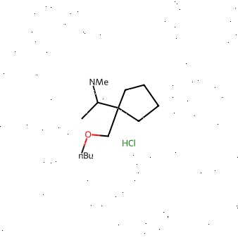 CCCCOCC1(C(C)NC)CCCC1.Cl